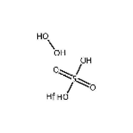 O=S(=O)(O)O.OO.[Hf]